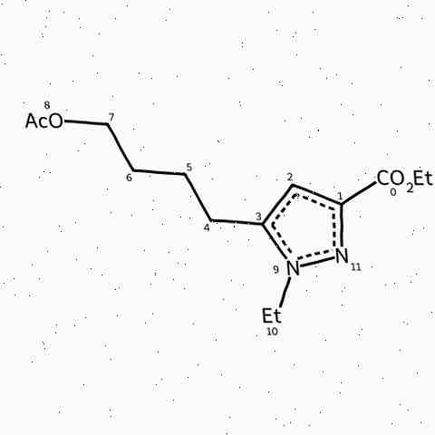 CCOC(=O)c1cc(CCCCOC(C)=O)n(CC)n1